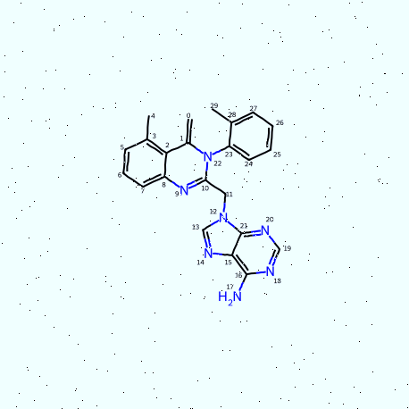 C=C1c2c(C)cccc2N=C(Cn2cnc3c(N)ncnc32)N1c1ccccc1C